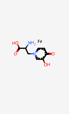 NC(Cn1ccc(=O)c(O)c1)C(=O)O.[Fe]